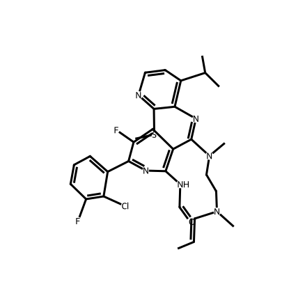 C/C=C/N(C)CCN(C)/C(=N/c1c(C(C)C)ccnc1SC)c1cc(F)c(-c2cccc(F)c2Cl)nc1NC=O